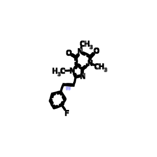 Cn1c(=O)c2c(nc(/C=C/c3cccc(F)c3)n2C)n(C)c1=O